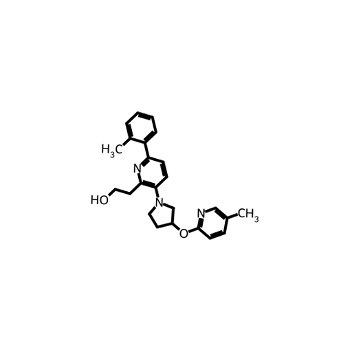 Cc1ccc(OC2CCN(c3ccc(-c4ccccc4C)nc3CCO)C2)nc1